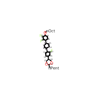 CCCCCCCCOc1ccc(-c2ccc(-c3ccc(C4COC(CCCCC)OC4)cc3F)cc2)c(F)c1F